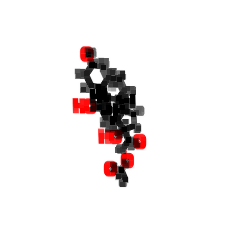 CC(=O)OCC(=O)[C@@]1(O)CC[C@H]2[C@@H]3C=CC4=CC(=O)CC[C@]4(C)[C@H]3C(O)C[C@@]21C